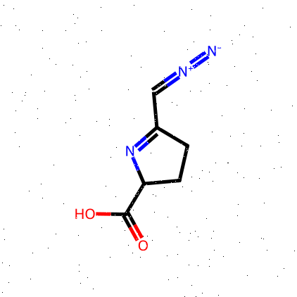 [N-]=[N+]=CC1=NC(C(=O)O)CC1